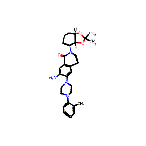 Cc1ccccc1N1CCN(c2cc3c(cc2N)C(=O)N([C@H]2CCC[C@@H]4OC(C)(C)O[C@@H]42)CC3)CC1